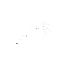 C#CCCCC(=O)NCCCCC(NC(=O)OCC1c2ccccc2-c2ccccc21)C(=O)O